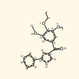 CCOc1c(OC)cc(C(=O)c2csc(-c3ccccc3)n2)cc1OC